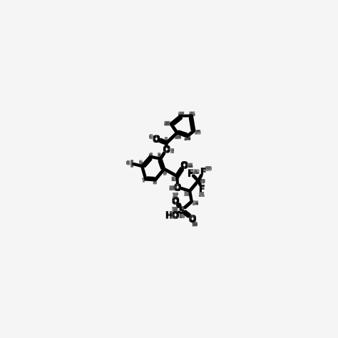 O=C(Oc1cc(I)ccc1C(=O)OC(CS(=O)(=O)O)C(F)(F)F)c1ccccc1